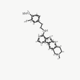 COc1ccc(CCNc2ncnc3c2sc2nc4c(cc23)CN(C)CC4)cc1F